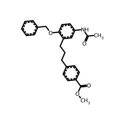 COC(=O)c1ccc(CCCc2cc(NC(C)=O)ccc2OCc2ccccc2)cc1